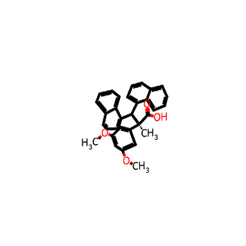 COc1cc(OC)cc([C@](C)(C(=O)O)C(c2cccc3ccccc23)c2cccc3ccccc23)c1